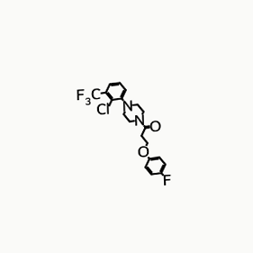 O=C(CCOc1ccc(F)cc1)N1CCN(c2cccc(C(F)(F)F)c2Cl)CC1